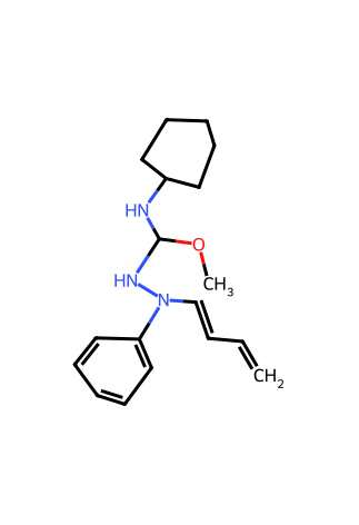 C=C/C=C/N(NC(NC1CCCCC1)OC)c1ccccc1